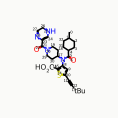 CC1CCC(C(=O)N(c2cc(C#CC(C)(C)C)sc2C(=O)O)C2CCN(C(=O)C3=CNCC=N3)CC2)CC1